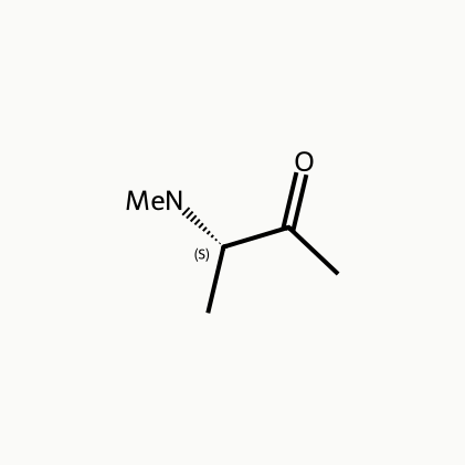 CN[C@@H](C)C(C)=O